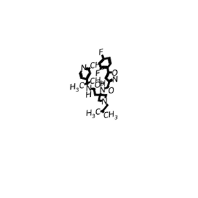 Cc1cc(C(C)(C)NC(=O)CC2(NC(=O)c3cc(-c4ccc(F)cc4F)on3)CN(CC(C)C)C2)ccn1